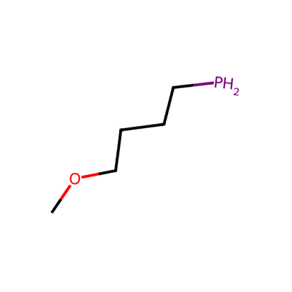 COCCCCP